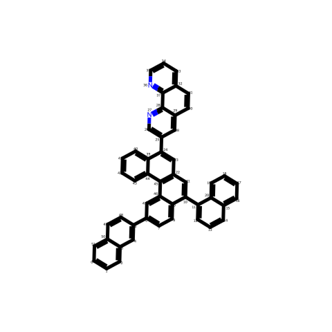 c1ccc2cc(-c3ccc4c(-c5cccc6ccccc56)cc5cc(-c6cnc7c(ccc8cccnc87)c6)c6ccccc6c5c4c3)ccc2c1